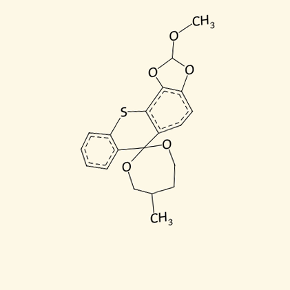 COC1Oc2ccc3c(c2O1)Sc1ccccc1C31OCCC(C)CO1